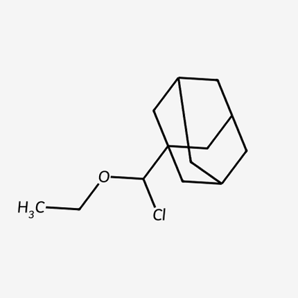 CCOC(Cl)C12CC3CC(CC(C3)C1)C2